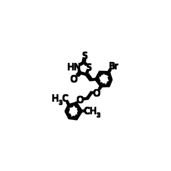 Cc1cccc(C)c1OCCOc1ccc(Br)cc1/C=C1\SC(=S)NC1=O